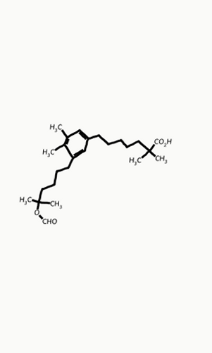 Cc1cc(CCCCCC(C)(C)C(=O)O)cc(CCCCC(C)(C)OC=O)c1C